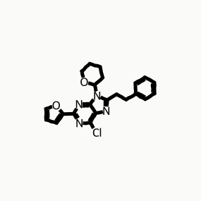 Clc1nc(-c2ccco2)nc2c1nc(CCc1ccccc1)n2C1CCCCO1